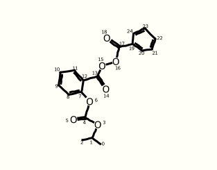 CC(C)OC(=O)Oc1ccccc1C(=O)OOC(=O)c1ccccc1